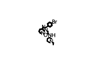 CCN1CCCC(NC(=O)Cn2c(-c3ccc(Br)cc3)nc3cccnc32)C1